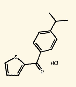 CC(C)c1ccc(C(=O)c2cccs2)cc1.Cl